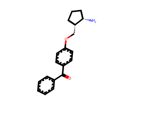 N[C@H]1CCC[C@H]1COc1ccc(C(=O)c2ccccc2)cc1